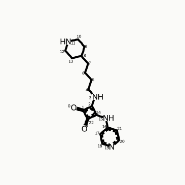 O=c1c(NCCCCC2CCNCC2)c(Nc2ccncc2)c1=O